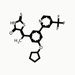 C/C(=C1/SC(=S)NC1=O)c1cc(OC2CCCC2)cc(-c2cc(C(F)(F)F)ccn2)c1